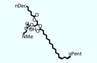 CCCCC/C=C\C/C=C\CCCCCCCCCCCC(=O)OC(COC(=O)CCCCCCCCCCCCCC)COP(=O)(O)OCCNC